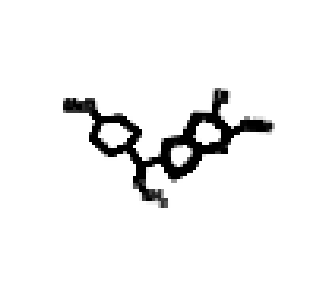 CCc1cc2cc(/C(=N\N)C3CCC(OC)CC3)ccc2nc1OC